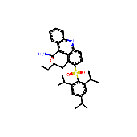 CCCCc1c(S(=O)(=O)c2c(C(C)C)cc(C(C)C)cc2C(C)C)ccc2nc3ccccc3c(C(N)=O)c12